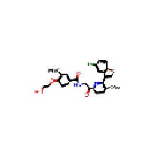 COc1cc(C(=O)NCC(=O)c2ccc(OC)c(-c3csc4ccc(F)cc34)n2)ccc1OCCO